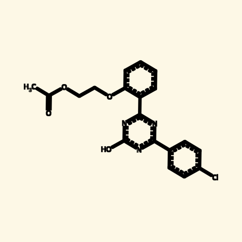 CC(=O)OCCOc1ccccc1-c1nc(O)nc(-c2ccc(Cl)cc2)n1